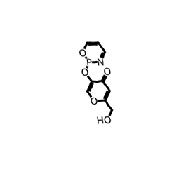 O=c1cc(CO)occ1OP1N=CC=CO1